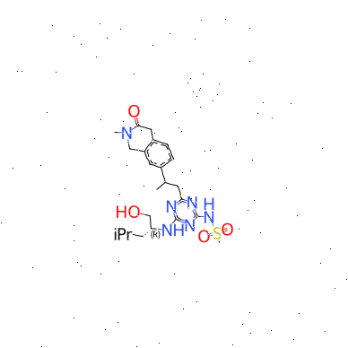 CC(C)C[C@H](CO)Nc1nc(CC(C)c2ccc3c(c2)CN(C)C(=O)C3)nc(NS(C)(=O)=O)n1